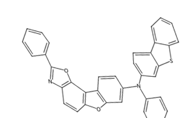 c1ccc(-c2nc3ccc4oc5cc(N(c6ccccc6)c6ccc7c(c6)sc6ccccc67)ccc5c4c3o2)cc1